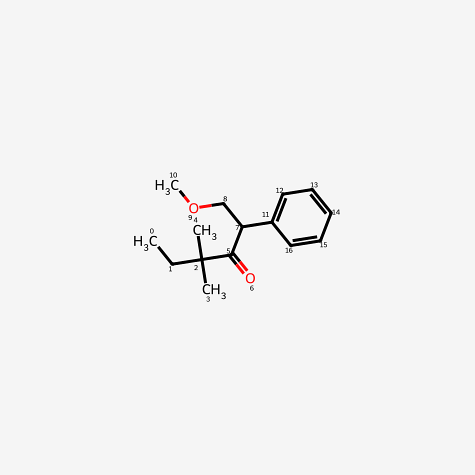 CCC(C)(C)C(=O)C(COC)c1ccccc1